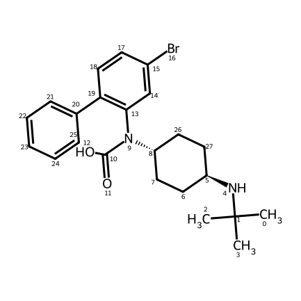 CC(C)(C)N[C@H]1CC[C@H](N(C(=O)O)c2cc(Br)ccc2-c2ccccc2)CC1